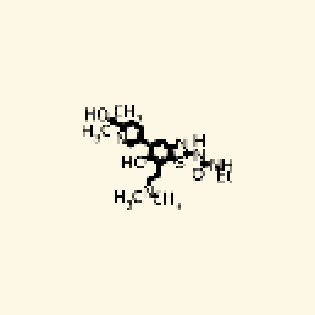 CCNC(=O)Nc1nc2cc(-c3ccc(C(C)(C)O)nc3)c(O)c(CCN(C)C)c2s1